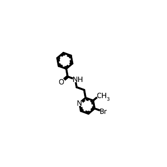 Cc1c(Br)ccnc1CCNC(=O)c1ccccc1